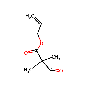 C=CCOC(=O)C(C)(C)C=O